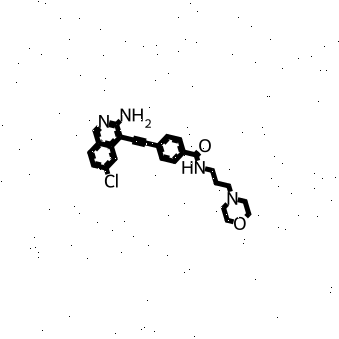 Nc1ncc2ccc(Cl)cc2c1C#Cc1ccc(C(=O)NCCCN2CCOCC2)cc1